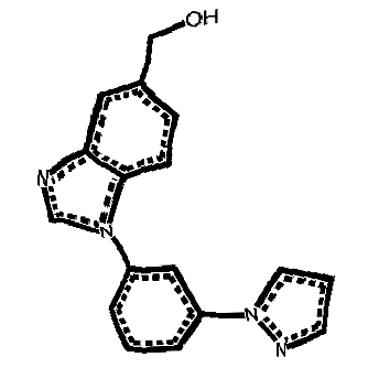 OCc1ccc2c(c1)ncn2-c1cccc(-n2cccn2)c1